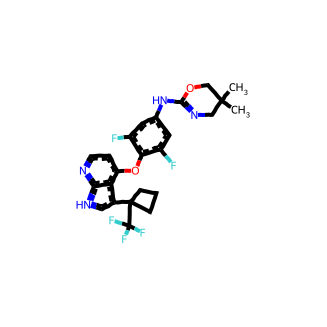 CC1(C)CN=C(Nc2cc(F)c(Oc3ccnc4[nH]cc(C5(C(F)(F)F)CCC5)c34)c(F)c2)OC1